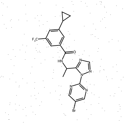 CC(NC(=O)c1cc(C2CC2)cc(C(F)(F)F)c1)c1ncnn1-c1ncc(Br)cn1